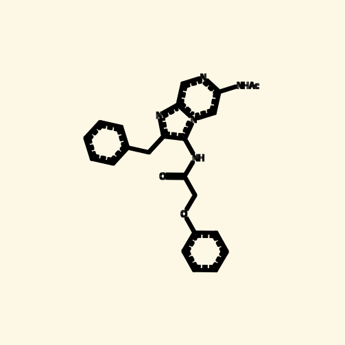 CC(=O)Nc1cn2c(NC(=O)COc3ccccc3)c(Cc3ccccc3)nc2cn1